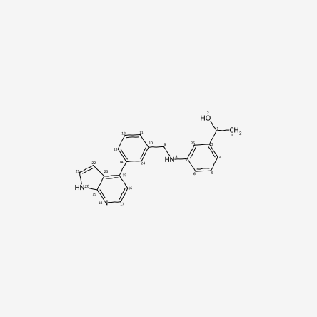 CC(O)c1cccc(NCc2cccc(-c3ccnc4[nH]ccc34)c2)c1